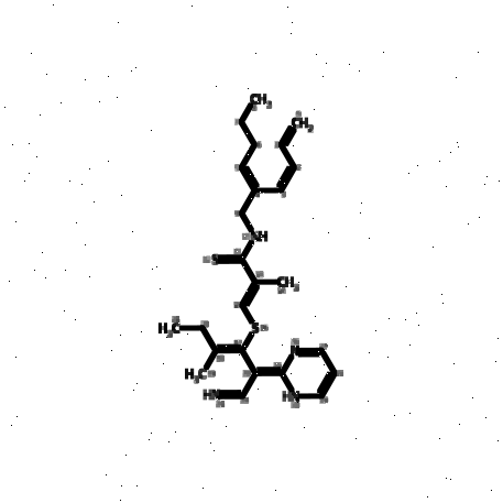 C=C/C=C\C(=C/CCC)CNC(=S)/C(C)=C/SC(=C(/C)CC)/C(C=N)=C1\N=CC=CN1